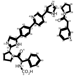 O=C(O)N[C@@H](C(=O)N1CCC[C@H]1c1ncc(-c2ccc(-c3ccc(-c4cnc([C@@H]5CCCN5C(=O)Cc5cccnc5)[nH]4)cn3)cc2)[nH]1)c1ccccc1